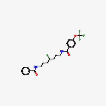 O=C(NCCCC(F)CCCNC(=O)c1ccc(OC(F)(F)F)cc1)c1ccccc1